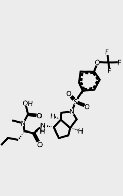 CCC[C@@H](C(=O)N[C@H]1CC[C@@H]2CN(S(=O)(=O)c3ccc(OC(F)(F)F)cc3)C[C@@H]21)N(C)C(=O)O